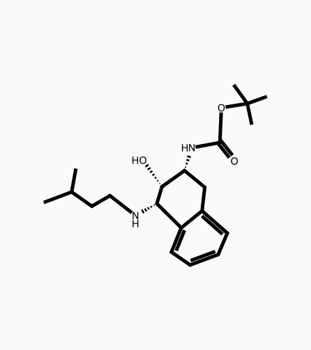 CC(C)CCN[C@H]1c2ccccc2C[C@@H](NC(=O)OC(C)(C)C)[C@H]1O